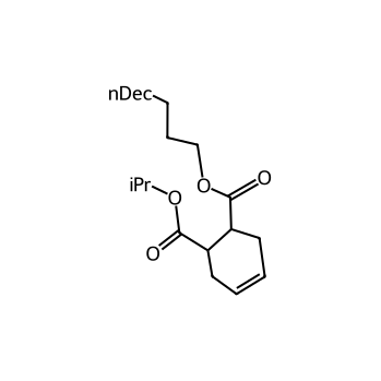 CCCCCCCCCCCCCOC(=O)C1CC=CCC1C(=O)OC(C)C